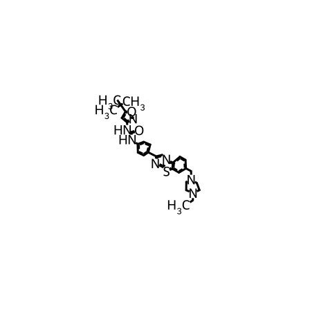 CCN1CCN(Cc2ccc3c(c2)sc2nc(-c4ccc(NC(=O)Nc5cc(C(C)(C)C)on5)cc4)cn23)CC1